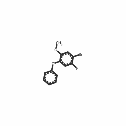 COc1cc(Br)c(F)cc1Oc1ccccc1